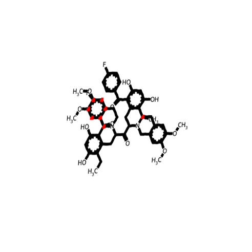 CCc1c(O)cc(O)c(C(=O)c2ccc(F)cc2)c1CC(C(=O)C(Cc1c(CC)c(O)cc(O)c1C(=O)c1ccc(F)cc1)N1CCc2cc(OC)c(OC)cc2C1)N1CCc2cc(OC)c(OC)cc2C1